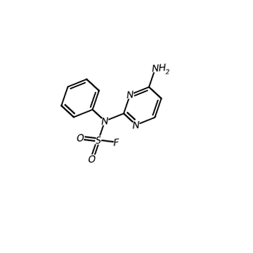 Nc1ccnc(N(c2ccccc2)S(=O)(=O)F)n1